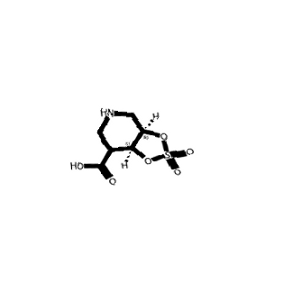 O=C(O)C1CNC[C@H]2OS(=O)(=O)O[C@@H]12